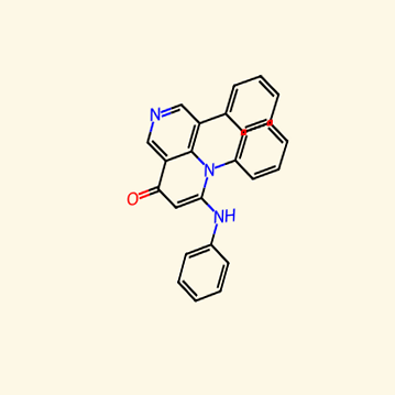 O=c1cc(Nc2ccccc2)n(-c2ccccc2)c2c(-c3ccccc3)cncc12